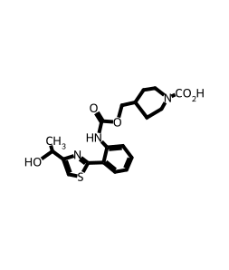 CC(O)c1csc(-c2ccccc2NC(=O)OCC2CCN(C(=O)O)CC2)n1